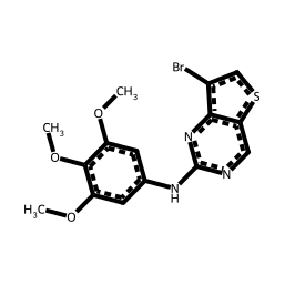 COc1cc(Nc2ncc3scc(Br)c3n2)cc(OC)c1OC